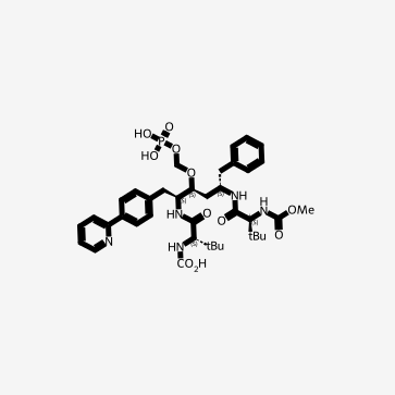 COC(=O)N[C@H](C(=O)N[C@@H](Cc1ccccc1)C[C@H](OCOP(=O)(O)O)[C@H](Cc1ccc(-c2ccccn2)cc1)NC(=O)[C@@H](NC(=O)O)C(C)(C)C)C(C)(C)C